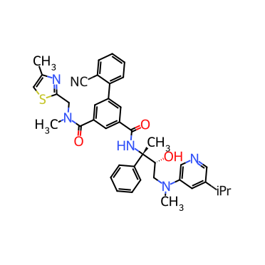 Cc1csc(CN(C)C(=O)c2cc(C(=O)N[C@@](C)(c3ccccc3)[C@H](O)CN(C)c3cncc(C(C)C)c3)cc(-c3ccccc3C#N)c2)n1